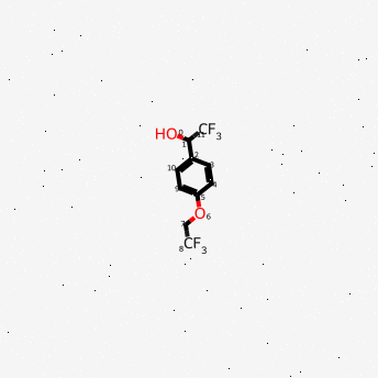 OC(c1ccc(OCC(F)(F)F)cc1)C(F)(F)F